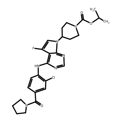 CC(C)OC(=O)N1CCC(n2cc(F)c3c(Nc4ccc(C(=O)N5CCCC5)cc4Cl)ncnc32)CC1